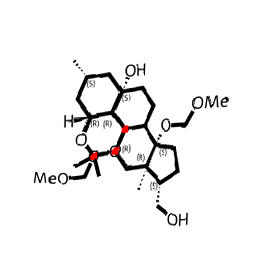 COCO[C@@H]1C[C@]2(C)[C@@H](CO)CC[C@]2(OCOC)C2CC[C@]3(O)C[C@@H](C)C[C@H]4OC(C)(C)OC[C@]43C21